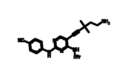 CCCNc1nc(Nc2ccc(C#N)cc2)ncc1C#CC(C)(C)CCN